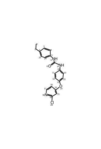 CCc1ccc(NC(=O)Nc2ccc(Oc3ccnc(Cl)c3)cc2)cc1